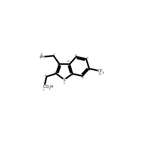 CC(C)Cc1c(CC(=O)O)sc2cc(C(F)(F)F)ccc12